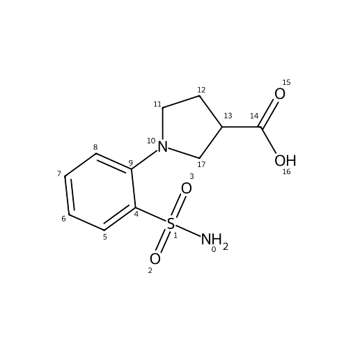 NS(=O)(=O)c1ccccc1N1CCC(C(=O)O)C1